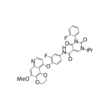 COc1cc2nccc(Oc3ccc(NC(=O)c4cn(C(C)C)c(=O)n(-c5ccccc5F)c4=O)cc3F)c2c2c1OCCO2